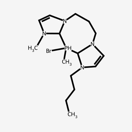 CCCCN1C=CN2CCCN3C=CN(C)C3[PH](C)(Br)C12